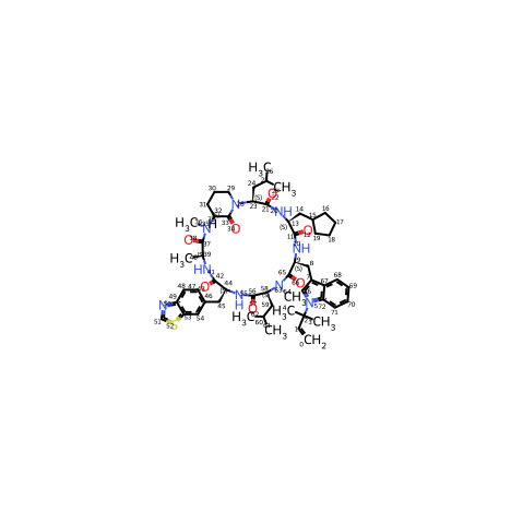 C=CC(C)(C)n1cc(C[C@@H]2NC(=O)[C@H](CC3CCCC3)NC(=O)[C@H](CC(C)C)N3CCC[C@@H](C3=O)N(C)C(=O)[C@H](C)NC(=O)[C@H](Cc3ccc4ncsc4c3)NC(=O)[C@H](CC(C)C)N(C)C2=O)c2ccccc21